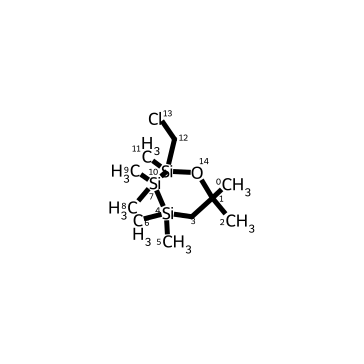 CC1(C)C[Si](C)(C)[Si](C)(C)[Si](C)(CCl)O1